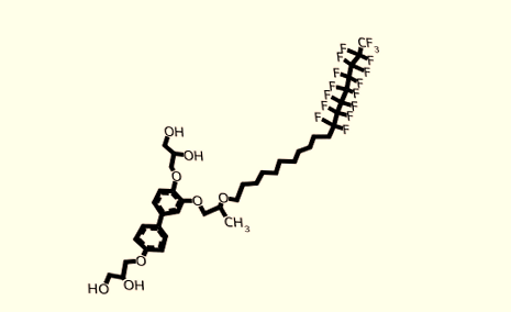 CC(COc1cc(-c2ccc(OCC(O)CO)cc2)ccc1OCC(O)CO)OCCCCCCCCCCCC(F)(F)C(F)(F)C(F)(F)C(F)(F)C(F)(F)C(F)(F)C(F)(F)C(F)(F)F